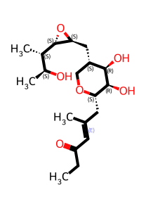 CCC(=O)/C=C(\C)C[C@@H]1OC[C@H](C[C@@H]2O[C@H]2[C@@H](C)[C@H](C)O)[C@@H](O)[C@H]1O